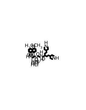 CN(C)c1cccc2c(S(=O)(=O)NC(CNC(=O)CNC(=O)C(CCC3CCNCC3)CCC3CCNCC3)C(=O)O)cccc12.Cl.Cl.Cl